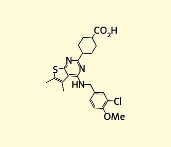 COc1ccc(CNc2nc(C3CCC(C(=O)O)CC3)nc3sc(C)c(C)c23)cc1Cl